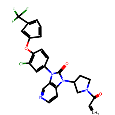 C=CC(=O)N1CCC(n2c(=O)n(-c3ccc(Oc4cccc(C(F)(F)F)c4)c(Cl)c3)c3cnccc32)C1